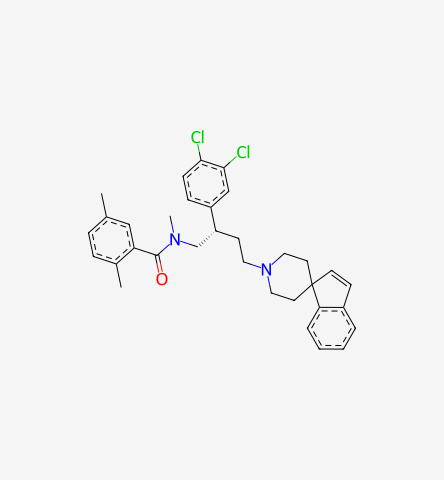 Cc1ccc(C)c(C(=O)N(C)C[C@@H](CCN2CCC3(C=Cc4ccccc43)CC2)c2ccc(Cl)c(Cl)c2)c1